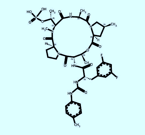 Cc1ccc(NC(=O)N[C@@H](Cc2cc(F)cc(F)c2)C(=O)N[C@@H]2C(=O)N3CCC[C@H]3C(=O)N(C)[C@@H]([C@@H](C)OP(=O)(O)O)C(=O)N[C@@H](C)C(=O)N3C[C@@H](C)C[C@H]3C(=O)O[C@H]2C)cc1